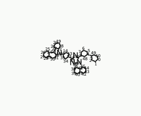 c1ccc(-c2cccc(-c3nc(-c4ccc(-n5c6ccccc6c6c7ccccc7ccc65)cc4)nc(-c4cccc5ccccc45)n3)c2)cc1